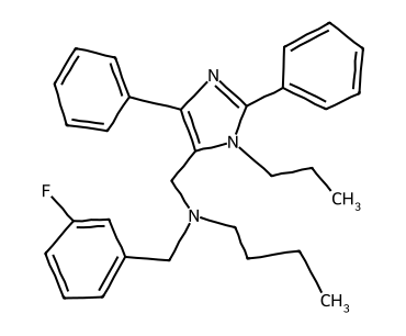 CCCCN(Cc1cccc(F)c1)Cc1c(-c2ccccc2)nc(-c2ccccc2)n1CCC